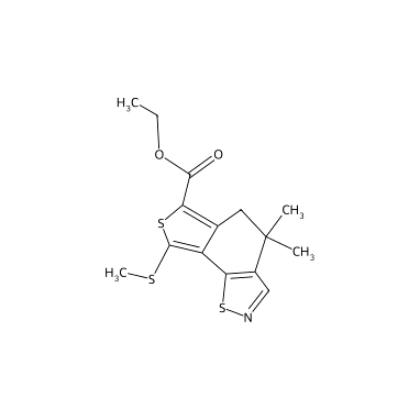 CCOC(=O)c1sc(SC)c2c1CC(C)(C)c1cnsc1-2